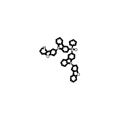 O=P(c1ccccc1)(c1ccc2c(c1)c1ccccc1n2-c1ccc2oc3ccccc3c2c1)c1ccc2c(c1)c1ccccc1n2-c1ccc2oc3cccnc3c2c1